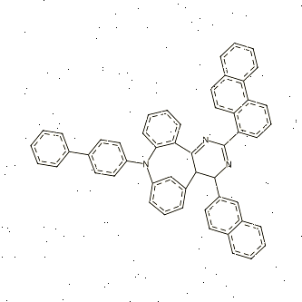 c1ccc(-c2ccc(N3c4cccc(c4)C4C(=NC(c5cccc6c5ccc5ccccc56)=NC4c4ccc5ccccc5c4)c4ccccc43)cc2)cc1